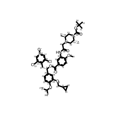 COc1ccc(C(=O)O[C@@H](Cc2c(Cl)c[n+]([O-])cc2Cl)c2ccc(OC(F)F)c(OCC3CC3)c2)cc1NC(=O)CN1C[C@@H](C)N(C(=O)OC(C)(C)C)C[C@@H]1C